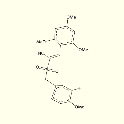 COc1cc(OC)c(/C=C(\C#N)S(=O)(=O)Cc2ccc(OC)c(F)c2)c(OC)c1